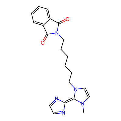 CN1C=CN(CCCCCCN2C(=O)c3ccccc3C2=O)C1=C1N=CC=N1